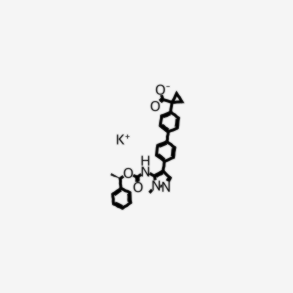 C[C@@H](OC(=O)Nc1c(-c2ccc(-c3ccc(C4(C(=O)[O-])CC4)cc3)cc2)cnn1C)c1ccccc1.[K+]